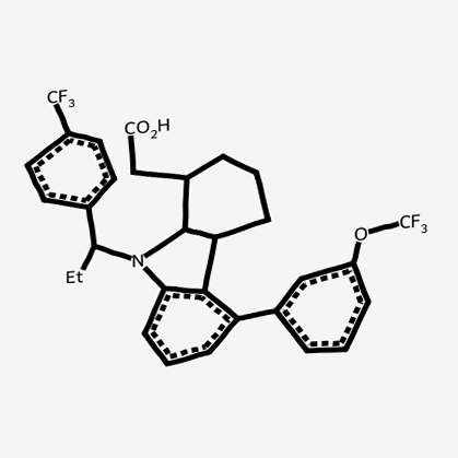 CCC(c1ccc(C(F)(F)F)cc1)N1c2cccc(-c3cccc(OC(F)(F)F)c3)c2C2CCCC(CC(=O)O)C21